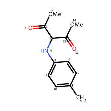 COC(=O)C(Nc1ccc(C)cc1)C(=O)OC